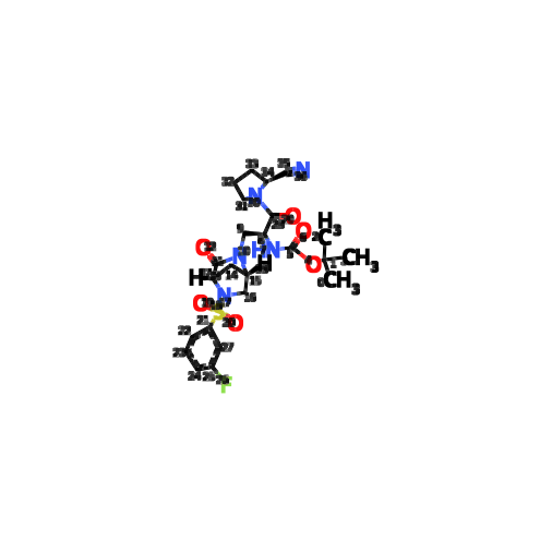 CC(C)(C)OC(=O)N[C@@H](CN1C(=O)[C@@H]2C[C@H]1CN2S(=O)(=O)c1cccc(F)c1)C(=O)N1CCC[C@H]1C#N